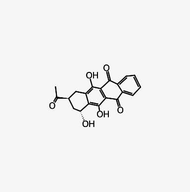 CC(=O)[C@H]1Cc2c(O)c3c(c(O)c2[C@H](O)C1)C(=O)c1ccccc1C3=O